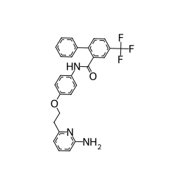 Nc1cccc(CCOc2ccc(NC(=O)c3cc(C(F)(F)F)ccc3-c3ccccc3)cc2)n1